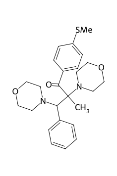 CSc1ccc(C(=O)C(C)(C(c2ccccc2)N2CCOCC2)N2CCOCC2)cc1